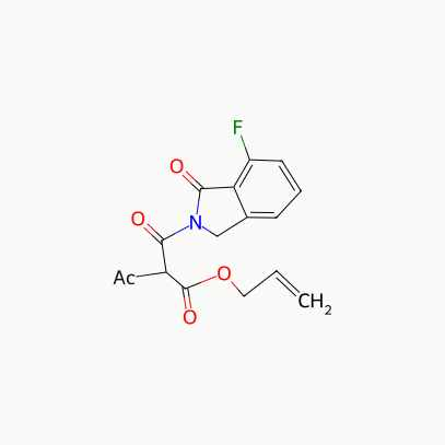 C=CCOC(=O)C(C(C)=O)C(=O)N1Cc2cccc(F)c2C1=O